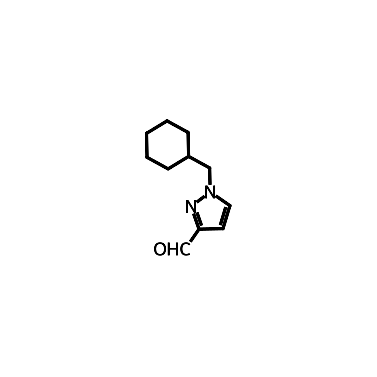 O=Cc1ccn(CC2CCCCC2)n1